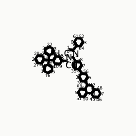 C\C=C(/N=C(\N=C(/C)c1ccc(C(c2ccccc2)(c2ccccc2)c2ccccc2)cc1)c1ccc(-c2ccc(C3CC4=C(C=CCC4)c4ccccc43)cc2)cc1)C1=CCCC=C1